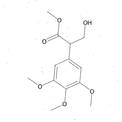 COC(=O)C(CO)c1cc(OC)c(OC)c(OC)c1